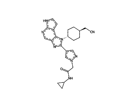 N#CC[C@H]1CC[C@H](n2c(-c3cnn(CC(=O)NC4CC4)c3)nc3cnc4[nH]ccc4c32)CC1